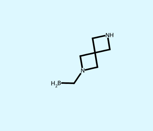 BCN1CC2(CNC2)C1